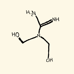 N=C(N)N(CO)CO